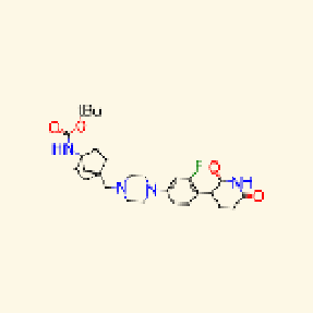 CC(C)(C)OC(=O)NC12CCC(CN3CCN(c4ccc(C5CCC(=O)NC5=O)c(F)c4)CC3)(CC1)C2